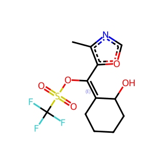 Cc1ncoc1/C(OS(=O)(=O)C(F)(F)F)=C1/CCCCC1O